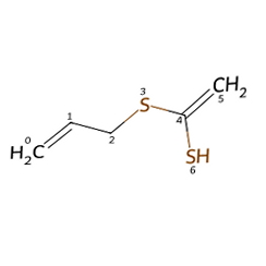 C=CCSC(=C)S